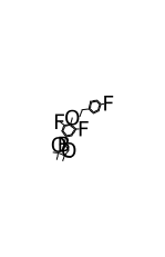 CC1(C)OB(c2cc(F)c(OCCc3ccc(F)cc3)c(F)c2)OC1(C)C